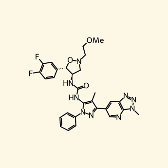 COCCN1C[C@@H](NC(=O)Nc2c(C)c(-c3cnc4c(c3)nnn4C)nn2-c2ccccc2)[C@H](c2ccc(F)c(F)c2)O1